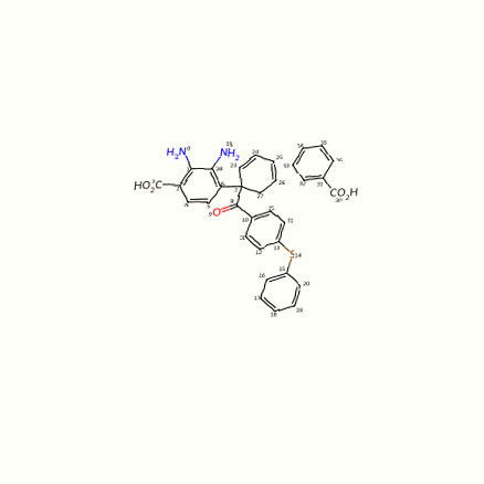 Nc1c(C(=O)O)ccc(C2(C(=O)c3ccc(Sc4ccccc4)cc3)C=CC=CC2)c1N.O=C(O)c1ccccc1